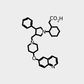 O=C(O)CC1CCCCC1N1CC(CN2CCC(Oc3ccc4ncccc4c3)CC2)C(c2ccccc2)C1